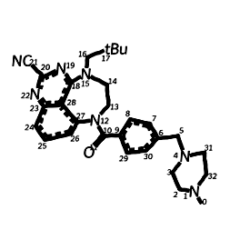 CN1CCN(Cc2ccc(C(=O)N3CCN(CC(C)(C)C)c4nc(C#N)nc5cccc3c45)cc2)CC1